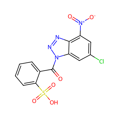 O=C(c1ccccc1S(=O)(=O)O)n1nnc2c([N+](=O)[O-])cc(Cl)cc21